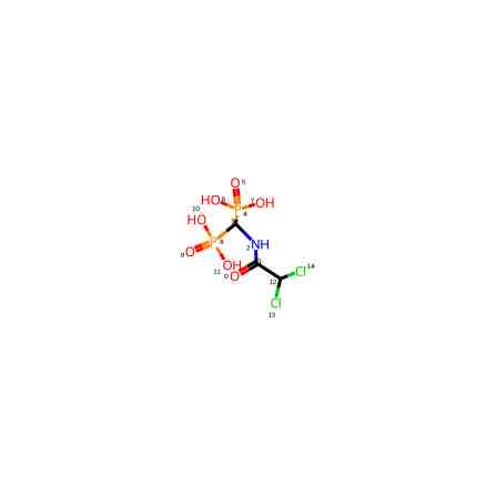 O=C(NC(P(=O)(O)O)P(=O)(O)O)C(Cl)Cl